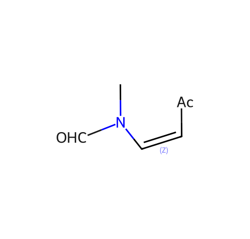 CC(=O)/C=C\N(C)C=O